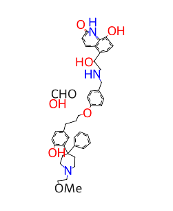 COCCN1CCC(c2ccccc2)(c2cc(CCCOc3ccc(CNC[C@H](O)c4ccc(O)c5[nH]c(=O)ccc45)cc3)ccc2O)CC1.O=CO